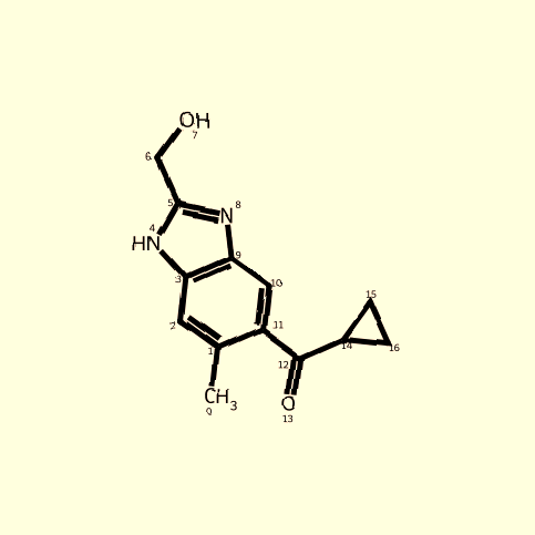 Cc1cc2[nH]c(CO)nc2cc1C(=O)C1CC1